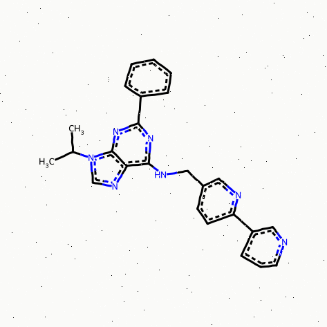 CC(C)n1cnc2c(NCc3ccc(-c4cccnc4)nc3)nc(-c3ccccc3)nc21